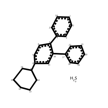 S.c1ccc(-c2ccc(C3CCCCC3)cc2-c2ccccc2)cc1